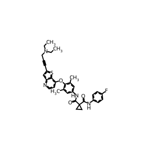 CCN(CC)CC#Cc1cc2nccc(Oc3c(C)cc(NC(=O)C4(C(=O)Nc5ccc(F)cc5)CC4)cc3C)c2s1